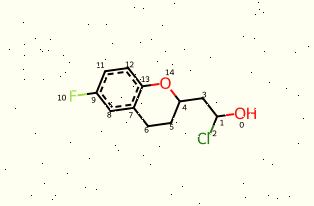 OC(Cl)CC1CCc2cc(F)ccc2O1